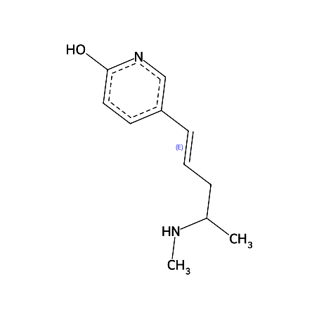 CNC(C)C/C=C/c1ccc(O)nc1